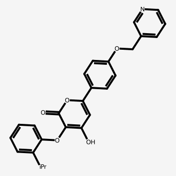 CC(C)c1ccccc1Oc1c(O)cc(-c2ccc(OCc3cccnc3)cc2)oc1=O